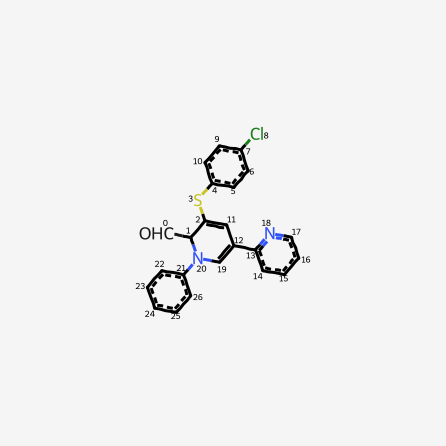 O=CC1C(Sc2ccc(Cl)cc2)=CC(c2ccccn2)=CN1c1ccccc1